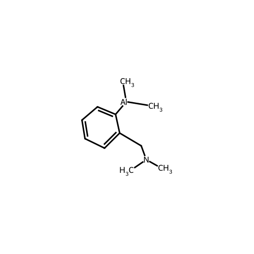 CN(C)Cc1cccc[c]1[Al]([CH3])[CH3]